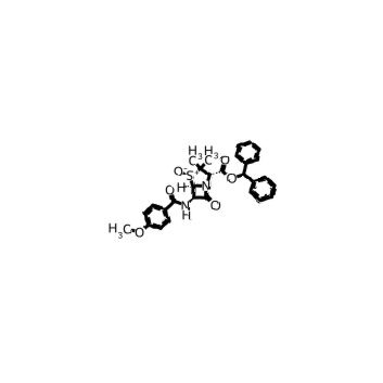 COc1ccc(C(=O)N[C@@H]2C(=O)N3[C@@H]2[S@@+]([O-])C(C)(C)[C@@H]3C(=O)OC(c2ccccc2)c2ccccc2)cc1